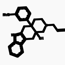 C=CCN1CCC2(c3cccc(OC)c3)Cc3[nH]c4ccccc4c3CC2(O)C1